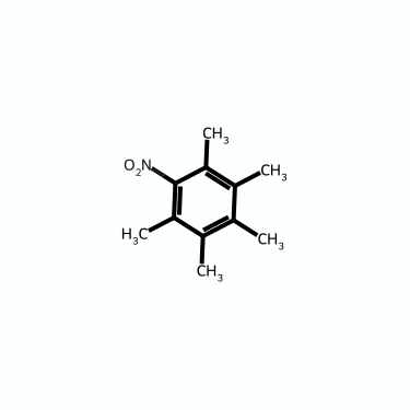 Cc1c(C)c(C)c([N+](=O)[O-])c(C)c1C